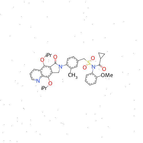 COc1ccccc1N(C(=O)C1CC1)S(=O)(=O)Cc1ccc(N2Cc3c(c(OC(C)C)c4cccnc4c3OC(C)C)C2=O)c(C)c1